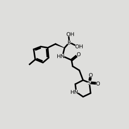 Cc1ccc(C[C@H](NC(=O)CCC2CNCCS2(=O)=O)B(O)O)cc1